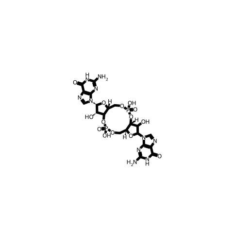 Nc1nc2c(ncn2C2O[C@H]3COP(=O)(O)OC4[C@@H](COP(=O)(O)O[C@@H]3C2O)O[C@@H](n2cnc3c(=O)[nH]c(N)nc32)[C@H]4O)c(=O)[nH]1